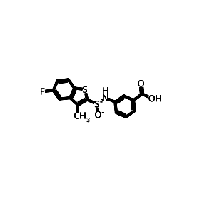 Cc1c([S+]([O-])Nc2cccc(C(=O)O)c2)sc2ccc(F)cc12